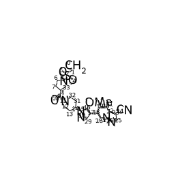 C=CS(=O)(=O)N1CC[C@H](C(=O)N2CCC(n3cc(-c4cc(OC)c5c(C#N)cnn5c4)cn3)CC2)C1